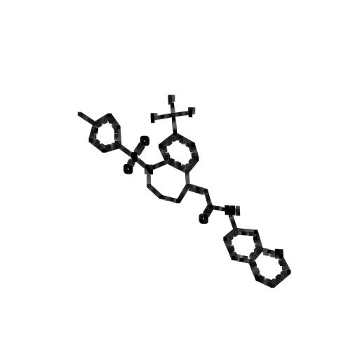 Cc1ccc(S(=O)(=O)N2CCCC(=CC(=O)Nc3ccc4cccnc4c3)c3ccc(C(F)(F)F)cc32)cc1